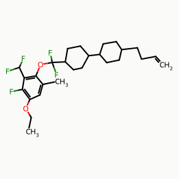 C=CCCC1CCC(C2CCC(C(F)(F)Oc3c(C)cc(OCC)c(F)c3C(F)F)CC2)CC1